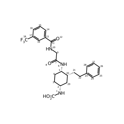 O=C(O)N[C@@H]1CC[C@H](NC(=O)CNC(=O)c2cccc(C(F)(F)F)c2)[C@H](CCc2ccccc2)C1